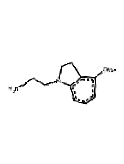 COc1cccc2c1CCN2CCN